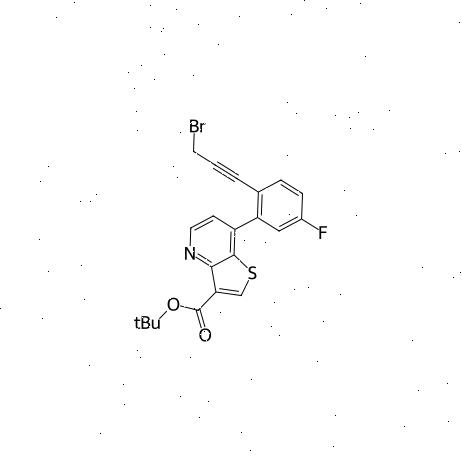 CC(C)(C)OC(=O)c1csc2c(-c3cc(F)ccc3C#CCBr)ccnc12